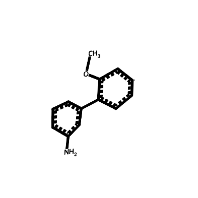 COc1c[c]ccc1-c1cccc(N)c1